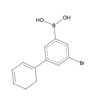 OB(O)c1cc(Br)cc(C2=CC=CCC2)c1